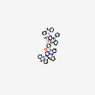 CC(C)(C)c1ccccc1N(c1cc2c3c(c1)N(c1ccccc1)c1ccccc1B3c1cc3c(cc1O2)Oc1cc(N(c2ccccc2C(C)(C)C)c2ccccc2C(C)(C)C)cc2c1B3c1ccccc1N2c1ccccc1)c1ccccc1C(C)(C)C